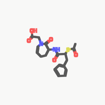 CC(=O)SC(Cc1ccccc1)C(=O)NC1CCC=CN(CC(=O)O)C1=O